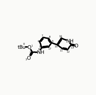 CC(C)(C)OC(=O)Nc1cccc(-c2ccc(=O)[nH]c2)c1